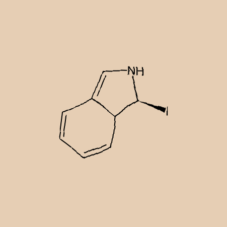 I[C@@H]1NC=C2C=CC=CC21